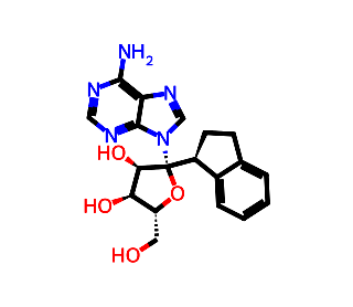 Nc1ncnc2c1ncn2[C@]1([C@H]2CCc3ccccc32)O[C@H](CO)[C@@H](O)[C@H]1O